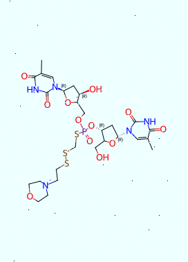 Cc1cn([C@H]2C[C@@H](O)C(COP(=O)(O[C@@H]3C[C@H](n4cc(C)c(=O)[nH]c4=O)OC3CO)SCSSCCN3CCOCC3)O2)c(=O)[nH]c1=O